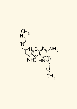 CCOCc1nc2c(N)nc(C)c(Sc3ccc(CN4CCN(C)CC4)cc3N)c2[nH]1